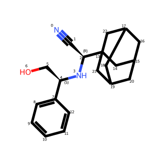 N#C[C@H](N[C@H](CO)c1ccccc1)C12CC3CC(CC(C3)C1)C2